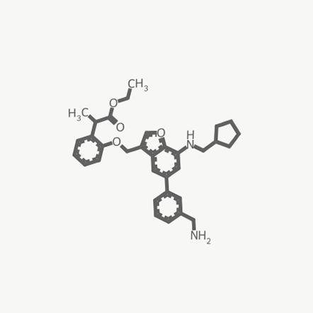 CCOC(=O)C(C)c1ccccc1OCc1coc2c(NCC3CCCC3)cc(-c3cccc(CN)c3)cc12